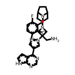 NCC1(n2cc(-c3ncnc4[nH]ccc34)cn2)CN(C2CC3CCC(C2)N3Cc2c(F)ccc(F)c2Cl)C1